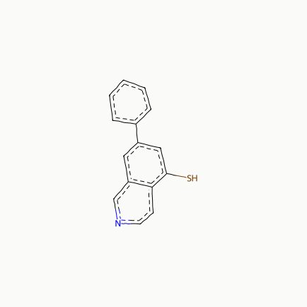 Sc1cc(-c2ccccc2)cc2cnccc12